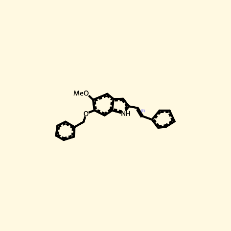 COc1cc2cc(/C=C/c3ccccc3)[nH]c2cc1OCc1ccccc1